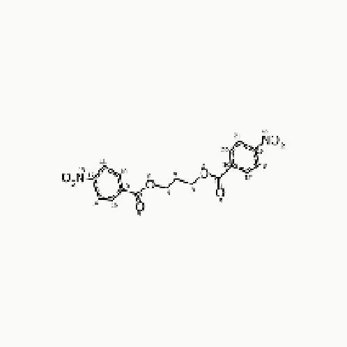 O=C(OCCCOC(=O)c1ccc([N+](=O)[O-])cc1)c1ccc([N+](=O)[O-])cc1